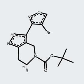 C[C@@H]1Cc2n[nH]c(-c3nocc3Br)c2CN1C(=O)OC(C)(C)C